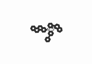 c1ccc(-c2cccc(N(c3ccc4c(ccc5c6ccccc6ccc45)c3)c3cccc4c3sc3c5ccccc5ccc43)c2)cc1